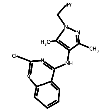 Cc1nn(CC(C)C)c(C)c1Nc1nc(Cl)nc2ccccc12